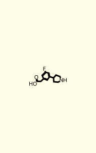 O=C(O)Cc1cc(F)cc(C2CCNCC2)c1